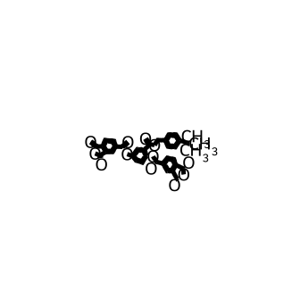 CC(C)(C)c1ccc(COC(=O)c2cc(OC(=O)c3ccc4c(c3)C(=O)OC4=O)ccc2OC(=O)c2ccc3c(c2)C(=O)OC3=O)cc1